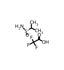 CC(C)[S+](N)[O-].O=C(O)C(F)(F)F